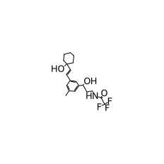 Cc1cc(C=CC2(O)CCCCC2)cc(C(O)CCNC(=O)C(F)(F)F)c1